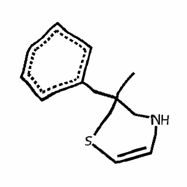 CC1(c2ccccc2)NC=CS1